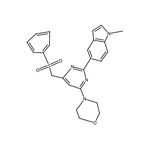 Cn1ccc2cc(-c3nc(CS(=O)(=O)c4ccccc4)cc(N4CCOCC4)n3)ccc21